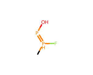 C[PH](F)=PO